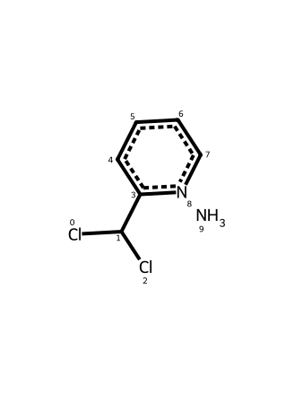 ClC(Cl)c1ccccn1.N